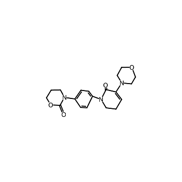 O=C1OCCCN1c1ccc(N2CCC=C(N3CCOCC3)C2=O)cc1